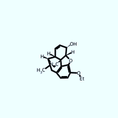 CCOc1ccc2c3c1O[C@H]1[C@@H](O)C=C[C@H]4[C@@H](C2)N(C)CC[C@@]341